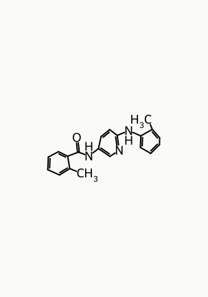 Cc1ccccc1Nc1ccc(NC(=O)c2ccccc2C)cn1